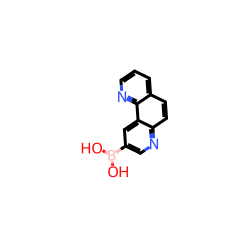 OB(O)c1cnc2ccc3cccnc3c2c1